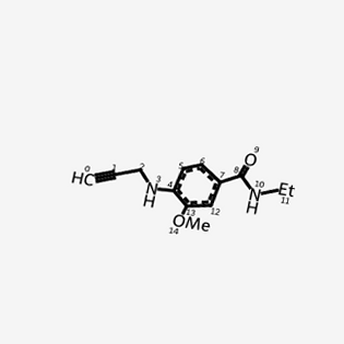 C#CCNc1ccc(C(=O)NCC)cc1OC